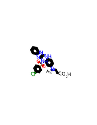 CC(=O)N(CCC(=O)O)c1ccc(Nc2nc3ccccc3nc2NS(=O)(=O)c2ccc(Cl)cc2)cc1